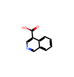 O=C(O)c1cncc2ccccc12